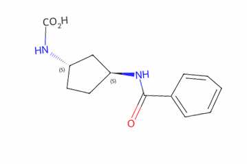 O=C(O)N[C@H]1CC[C@H](NC(=O)c2ccccc2)C1